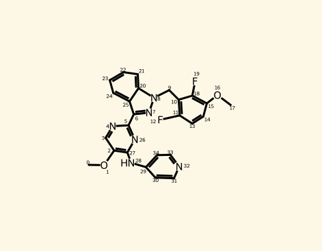 COc1cnc(-c2nn(Cc3c(F)ccc(OC)c3F)c3ccccc23)nc1Nc1ccncc1